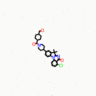 CC1(C)c2cc(C3CCN(C(=O)C4CCC(C=O)CC4)CC3)ccc2-n2c1nc(=O)c1c(Cl)cccc12